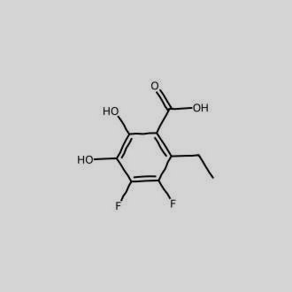 CCc1c(F)c(F)c(O)c(O)c1C(=O)O